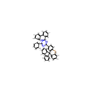 c1ccc(-c2nc(-c3ccc4c(c3)C(c3ccccc3)(c3ccccc3)c3ccccc3S4)nc(-c3ccccc3-c3ccccc3)n2)cc1